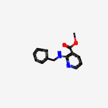 COC(=O)c1cccnc1NCc1ccccc1